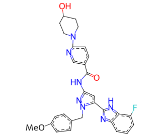 COc1ccc(Cn2nc(NC(=O)c3ccc(N4CCC(O)CC4)nc3)cc2-c2nc3cccc(F)c3[nH]2)cc1